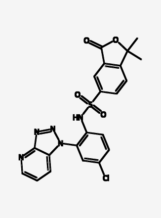 CC1(C)OC(=O)c2cc(S(=O)(=O)Nc3ccc(Cl)cc3-n3nnc4ncccc43)ccc21